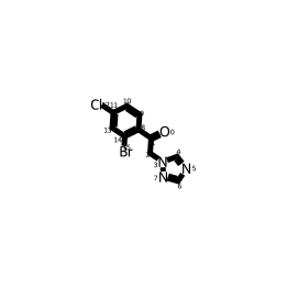 O=C(Cn1cncn1)c1ccc(Cl)cc1Br